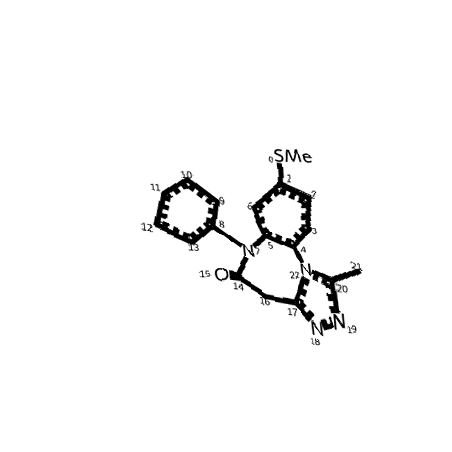 CSc1ccc2c(c1)N(c1ccccc1)C(=O)Cc1nnc(C)n1-2